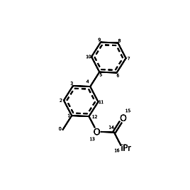 Cc1ccc(-c2ccccc2)cc1OC(=O)C(C)C